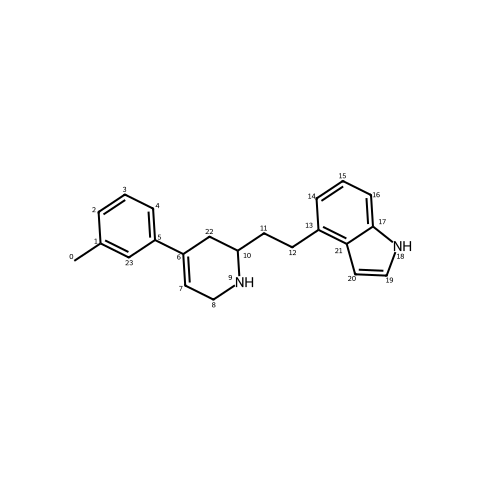 Cc1cccc(C2=CCNC(CCc3cccc4[nH]ccc34)C2)c1